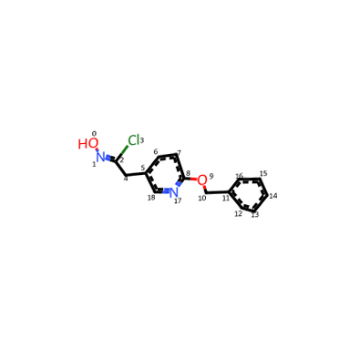 O/N=C(\Cl)Cc1ccc(OCc2ccccc2)nc1